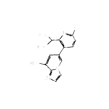 Cc1cc(-c2ccc(Cl)nc2C(C)C)cn2ccnc12